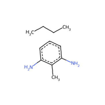 CCCC.Cc1c(N)cccc1N